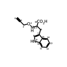 C#CCONC(Cc1c[nH]c2ccccc12)C(=O)O